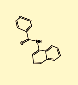 O=C(Nc1cccc2ccccc12)c1c[c][c]cc1